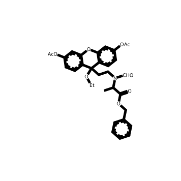 CCOC1(CCN(C=O)C(C)C(=O)OCc2ccccc2)c2ccc(OC(C)=O)cc2Oc2cc(OC(C)=O)ccc21